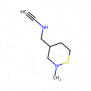 C#CNCC1CCSN(C)C1